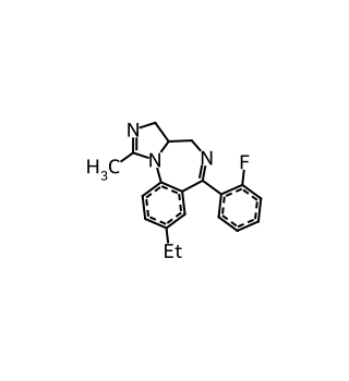 CCc1ccc2c(c1)C(c1ccccc1F)=NCC1CN=C(C)N21